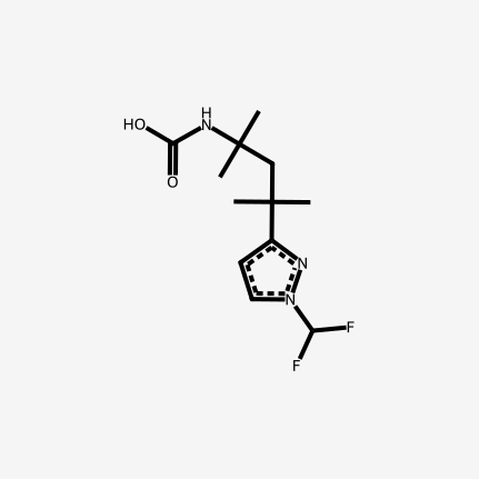 CC(C)(CC(C)(C)c1ccn(C(F)F)n1)NC(=O)O